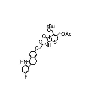 CC(=O)OCC1=C(COC(C)(C)C)N2C(=O)C(NC(=O)COc3ccc4c(c3)CCc3c-4[nH]c4ccc(F)cc34)C2SC1